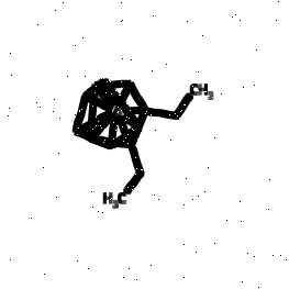 CC[C]12[CH]3[CH]4[CH]5[C]1(CC)[Zr]43521678[CH]2[CH]1[CH]6[CH]7[CH]28